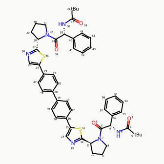 CC(C)(C)C(=O)N[C@H](C(=O)N1CCC[C@H]1c1ncc(-c2ccc(-c3ccc(-c4cnc([C@@H]5CCCN5C(=O)[C@H](NC(=O)C(C)(C)C)c5ccccc5)s4)cc3)cc2)s1)c1ccccc1